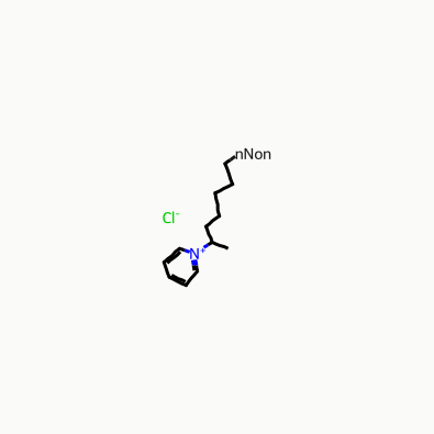 CCCCCCCCCCCCCCC(C)[n+]1ccccc1.[Cl-]